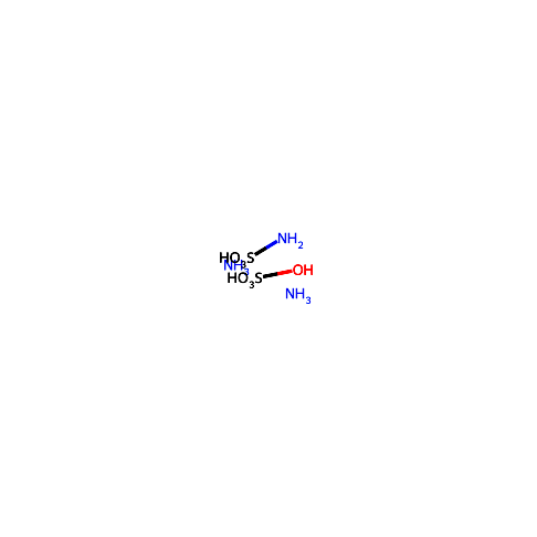 N.N.NS(=O)(=O)O.O=S(=O)(O)O